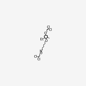 CCc1cc(OCC=C(Cl)Cl)cc(C)c1OCCCCC/C=N/OCC=C(Cl)Cl